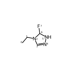 CCN1C=NNC1F